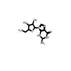 NCC1OC(n2cnc3c2NC(N)NC3=O)C(O)C1O